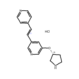 C(=C\c1cncc(O[C@@H]2CCNC2)c1)/c1ccncc1.Cl